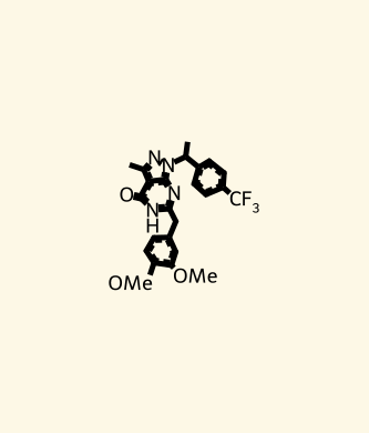 COc1ccc(Cc2nc3c(c(C)nn3C(C)c3ccc(C(F)(F)F)cc3)c(=O)[nH]2)cc1OC